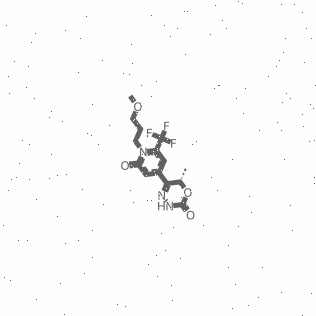 COCCCn1c(C(F)(F)F)cc(C2=NNC(=O)O[C@H]2C)cc1=O